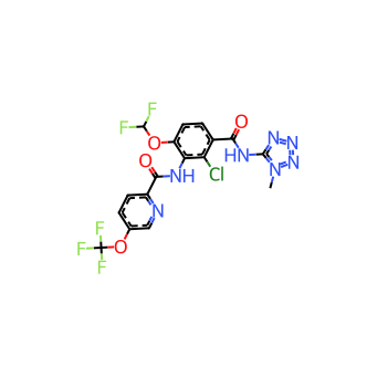 Cn1nnnc1NC(=O)c1ccc(OC(F)F)c(NC(=O)c2ccc(OC(F)(F)F)cn2)c1Cl